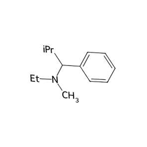 CCN(C)C(c1ccccc1)C(C)C